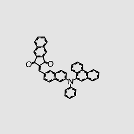 O=C1C(=Cc2ccc3cc(N(c4ccccc4)c4cc5ccccc5c5ccccc45)ccc3c2)C(=O)c2cc3ccccc3cc21